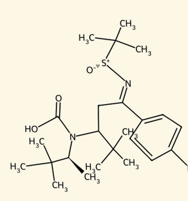 C[C@H](N(C(=O)O)C(CC(=N[S@+]([O-])C(C)(C)C)c1ccc(F)cc1)C(C)(C)C)C(C)(C)C